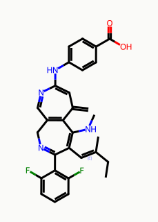 C=C1C=C(Nc2ccc(C(=O)O)cc2)N=CC2=C1C(NC)=C(/C=C(\C)CC)C(c1c(F)cccc1F)=NC2